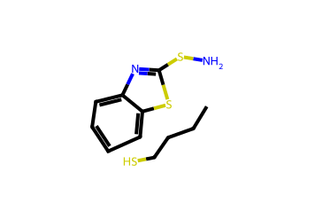 CCCCS.NSc1nc2ccccc2s1